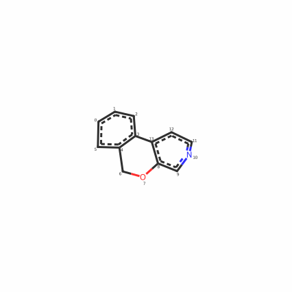 c1ccc2c(c1)COc1cnccc1-2